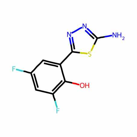 Nc1nnc(-c2cc(F)cc(F)c2O)s1